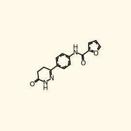 O=C1CCC(c2ccc(NC(=O)c3ccco3)cc2)=NN1